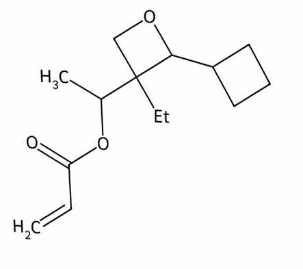 C=CC(=O)OC(C)C1(CC)COC1C1CCC1